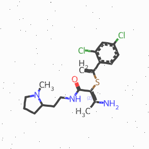 C=C(S/C(C(=O)NCCC1CCCN1C)=C(/C)N)c1ccc(Cl)cc1Cl